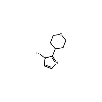 CC(C)n1ccnc1C1CCOCC1